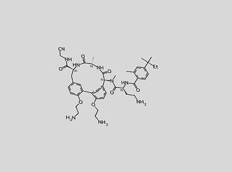 CCC(C)(C)c1ccc(C(=O)N[C@@H](CCN)C(=O)N(C)[C@@H]2C(=O)N[C@@H](C)C(=O)N[C@H](C(=O)NCC#N)Cc3ccc(OCCN)c(c3)-c3cc2ccc3OCCN)c(C)c1